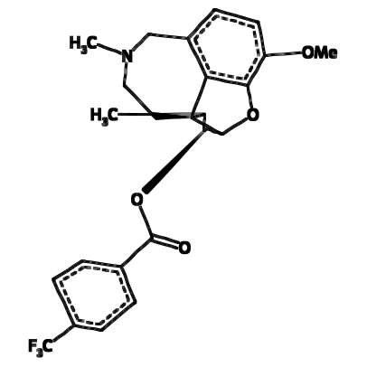 COc1ccc2c3c1OC1C[C@@H](OC(=O)c4ccc(C(F)(F)F)cc4)C(C)[C@@]31CCN(C)C2